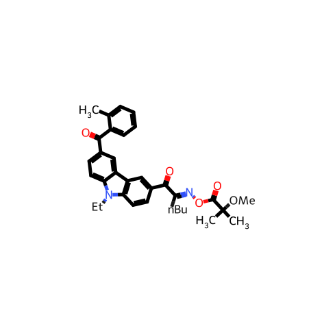 CCCC/C(=N\OC(=O)C(C)(C)OC)C(=O)c1ccc2c(c1)c1cc(C(=O)c3ccccc3C)ccc1n2CC